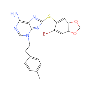 Cc1ccc(CCn2cnc(N)c3nc(Sc4cc5c(cc4Br)OCO5)nc2-3)cc1